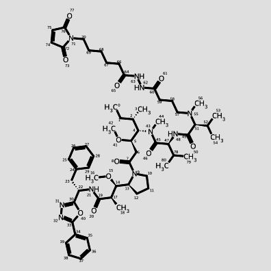 CC[C@H](C)[C@@H]([C@@H](CC(=O)N1CCC[C@H]1[C@H](OC)[C@@H](C)C(=O)N[C@@H](Cc1ccccc1)c1nnc(-c2ccccc2)o1)OC)N(C)C(=O)[C@@H](NC(=O)[C@H](C(C)C)N(C)CCCC(=O)NNC(=O)CCCCCN1C(=O)C=CC1=O)C(C)C